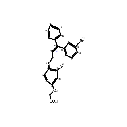 O=C(O)COc1ccc(SC/C=C(/c2ccccc2)c2cccc(Br)c2)c(Br)c1